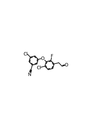 N#Cc1cc(Cl)cc(Oc2c(Cl)ccc(CC=O)c2F)c1